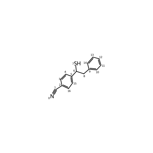 N#Cc1ccc(C(S)Cc2ccccc2)cc1